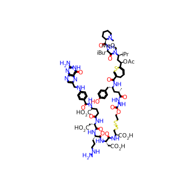 CCC(C)[C@H](NC(=O)[C@H]1CCCCN1C)C(=O)N(COC)[C@H](C[C@@H](OC(C)=O)C1=C=CCC(C(=O)N[C@@H](Cc2ccc(O)cc2)C[C@H](C)C(=O)NNC(=O)OCCSSC[C@H](NC(=O)[C@H](CC(=O)O)NC(=O)[C@H](CCCNN)NC(=O)[C@H](CC(=O)O)NC(=O)CC[C@H](NC(=O)c2ccc(NCc3cnc4nc(N)[nH]c(=O)c4n3)cc2)C(=O)O)C(=O)O)=CS1)C(C)C